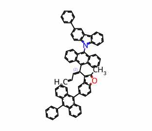 C=C/C=C(\c1c(C)oc2ccc(-c3c4ccccc4c(-c4ccccc4)c4ccccc34)cc12)c1c2ccccc2c(-n2c3ccccc3c3cc(-c4ccccc4)ccc32)c2ccccc12